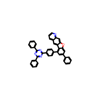 c1ccc(-c2cc(-c3ccc(-c4nc(-c5ccccc5)nc(-c5ccccc5)n4)cc3)c3c(c2)oc2cc4ncccc4cc23)cc1